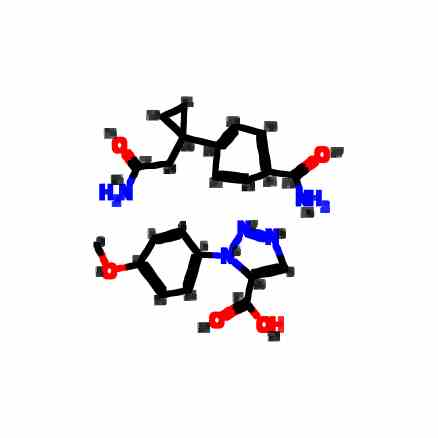 COc1ccc(-n2nncc2C(=O)O)cc1.NC(=O)CC1(c2ccc(C(N)=O)cc2)CC1